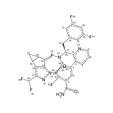 NC(=O)c1cc(-c2cccnc2[C@H](Cc2cc(F)cc(F)c2)N2P=C3c4c(c(C(F)F)nn4CC2=O)C2CC32)ccc1F